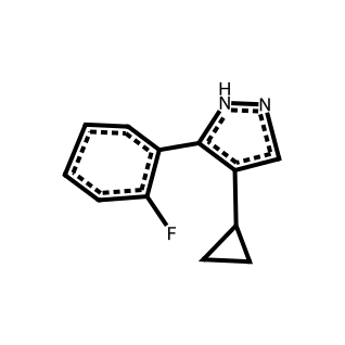 Fc1ccccc1-c1[nH]ncc1C1CC1